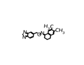 Cc1cc2c(cc1C)/C(=N/OCc1ccc3c(c1)=NCN=3)CCC2